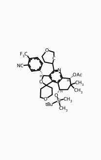 CC(=O)O[C@H]1c2nc(C3CCOCC3)c3c(c2[C@@H](O[Si](C)(C)C(C)(C)C)CC1(C)C)C1(CCOCC1)O[C@@H]3c1ccc(C(F)(F)F)c(C#N)c1